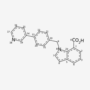 O=C(O)c1cccc2ccn(Cc3ccc(-c4cccnc4)cc3)c12